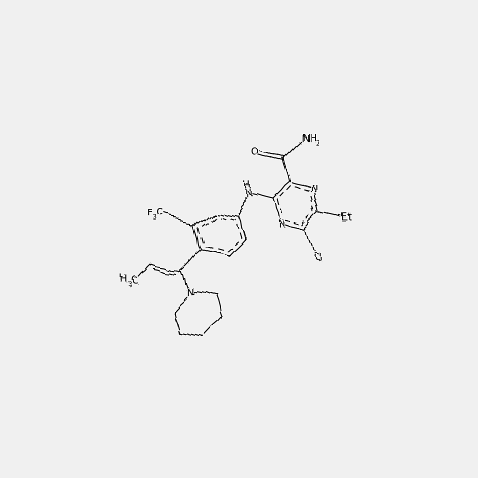 CC=C(c1ccc(Nc2nc(Cl)c(CC)nc2C(N)=O)cc1C(F)(F)F)N1CCCCC1